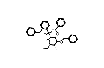 CC[C@H]1O[C@@H](C(F)(F)c2ccccc2Cc2ccccc2)[C@H](OCc2ccccc2)[C@@H](OCc2ccccc2)[C@@H]1C